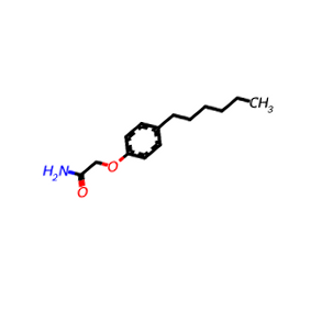 CCCCCCc1ccc(OCC(N)=O)cc1